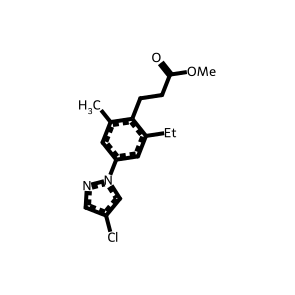 CCc1cc(-n2cc(Cl)cn2)cc(C)c1CCC(=O)OC